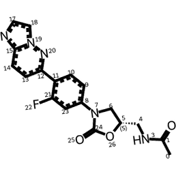 CC(=O)NC[C@H]1CN(c2ccc(-c3ccc4nccn4n3)c(F)c2)C(=O)O1